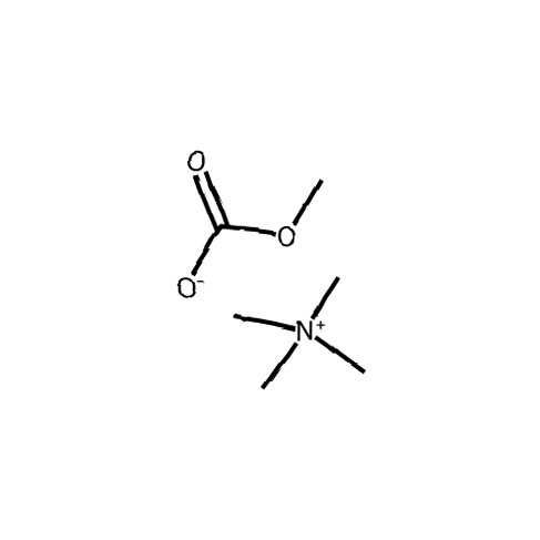 COC(=O)[O-].C[N+](C)(C)C